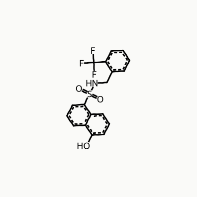 O=S(=O)(NCc1ccccc1C(F)(F)F)c1cccc2c(O)cccc12